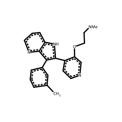 CNCCOc1cnccc1-c1[nH]c2cccnc2c1-c1cccc(C)c1